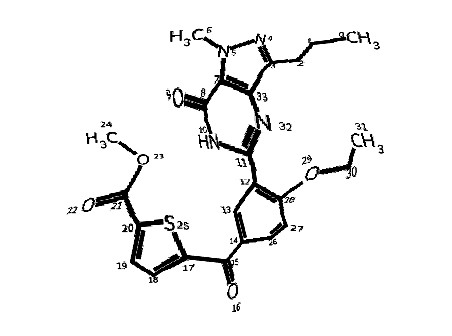 CCCc1nn(C)c2c(=O)[nH]c(-c3cc(C(=O)c4ccc(C(=O)OC)s4)ccc3OCC)nc12